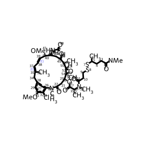 CNC(=O)CCC(C)SSCCC(=O)N(C)[C@H](C)C(=O)O[C@H]1CC(=O)N(C)c2cc(cc(OC)c2Cl)C/C(C)=C/C=C/[C@@H](OC)[C@@]2(O)C[C@H](OC(=O)N2)[C@@H](C)[C@@H]2O[C@@]12C